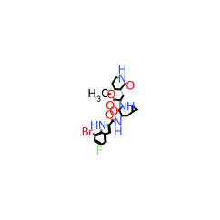 COC(=O)C(C[C@@H]1CCCNC1=O)NC(=O)C(CC1CC1)NC(=O)c1cc2cc(F)cc(Br)c2[nH]1